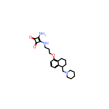 Nc1c(NCCCOc2cccc3c2CCCC3CN2CCCCC2)c(=O)c1=O